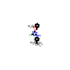 COc1ccccc1COc1nc(Cl)nc(Nc2ccc(C(C)(C)C)cc2)n1